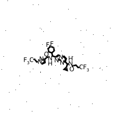 O=C(CCC(F)(F)F)NC(c1ccn2cc(C(NC(=O)c3ccn(CCC(F)(F)F)n3)C3CCC(F)(F)CC3)nc2n1)C1CC1